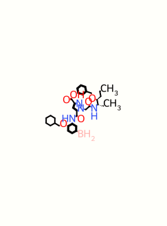 Bc1ccc(OCC2CCCCC2)c(NC(=O)c2cc(C(=O)O)nn2CC(=O)N[C@@H](CC)[C@H](CCC)OCc2ccccc2)c1